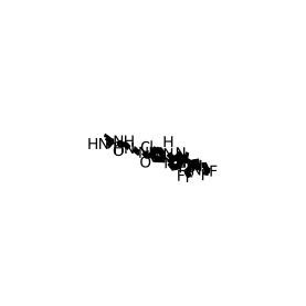 O=C(CNCCNC(=O)c1ccc(Nc2nccn3c(-c4cn(CC(F)F)nc4C(F)(F)F)cnc23)cc1Cl)NC1CNC1